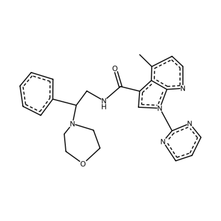 Cc1ccnc2c1c(C(=O)NCC(c1ccccc1)N1CCOCC1)cn2-c1ncccn1